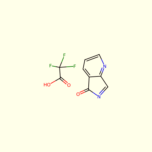 O=C(O)C(F)(F)F.O=C1N=Cc2ncccc21